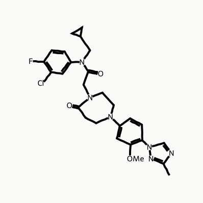 COc1cc(N2CCC(=O)N(CC(=O)N(CC3CC3)c3ccc(F)c(Cl)c3)CC2)ccc1-n1cnc(C)n1